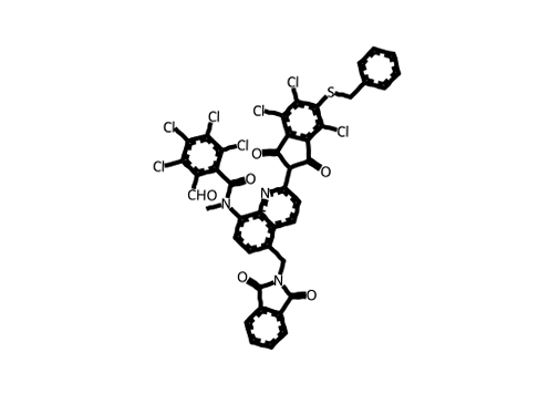 CN(C(=O)c1c(Cl)c(Cl)c(Cl)c(Cl)c1C=O)c1ccc(CN2C(=O)c3ccccc3C2=O)c2ccc(C3C(=O)c4c(Cl)c(Cl)c(SCc5ccccc5)c(Cl)c4C3=O)nc12